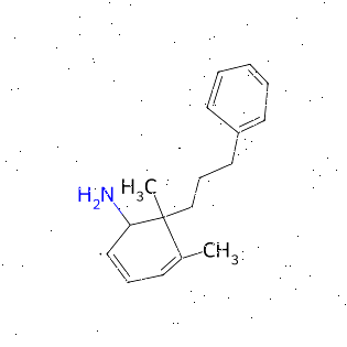 CC1=CC=[C]C(N)C1(C)CCCc1ccccc1